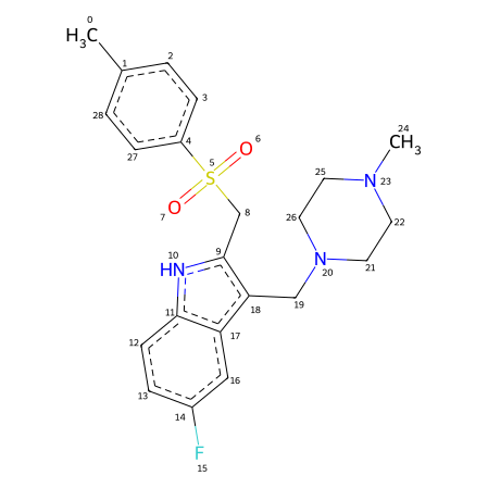 Cc1ccc(S(=O)(=O)Cc2[nH]c3ccc(F)cc3c2CN2CCN(C)CC2)cc1